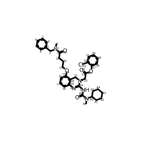 CN(Cc1ccccc1)C(=O)CCCOc1cccc2c1CN(CC(=O)Oc1ccccc1Cl)C(NC(=O)N(C)C1CCCCC1)=N2